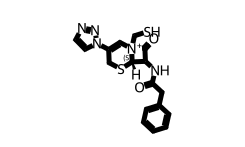 O=C(Cc1ccccc1)NC1C(=O)[N+]2(CS)C=C(n3ccnn3)CS[C@@H]12